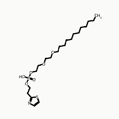 CCCCCCCCCCCCOCCOCCOP(=O)(O)OCCc1nccs1